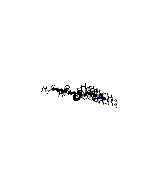 CCCCCCC(=O)NCCCN1CCCC[C@H](NC(=O)[C@H](OC)[C@H](O)[C@@H](O)[C@H](O)/C=C/C(C)(C)C)C1=O